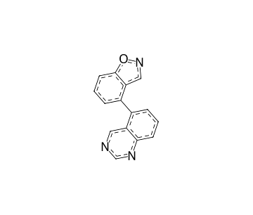 c1cc(-c2cccc3oncc23)c2cncnc2c1